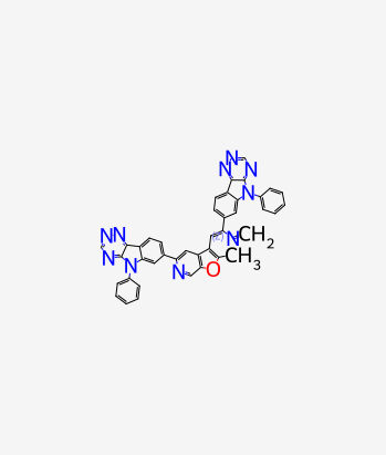 C=N/C(=C\c1c(C)oc2cnc(-c3ccc4c5nncnc5n(-c5ccccc5)c4c3)cc12)c1ccc2c3nncnc3n(-c3ccccc3)c2c1